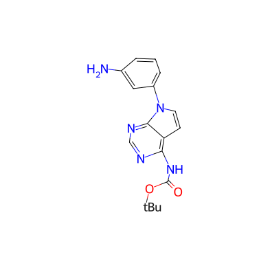 CC(C)(C)OC(=O)Nc1ncnc2c1ccn2-c1cccc(N)c1